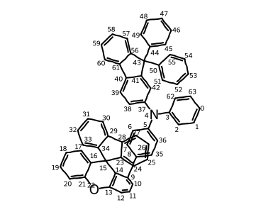 c1ccc(N(c2ccc(-c3cccc4c3C3(c5ccccc5O4)c4ccccc4-c4ccccc43)cc2)c2ccc3c(c2)C(c2ccccc2)(c2ccccc2)c2ccccc2-3)cc1